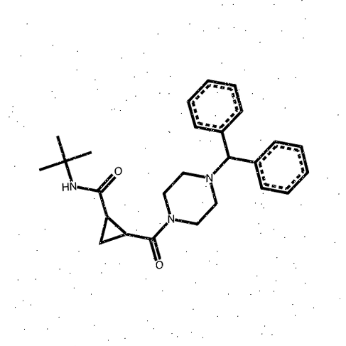 CC(C)(C)NC(=O)C1CC1C(=O)N1CCN(C(c2ccccc2)c2ccccc2)CC1